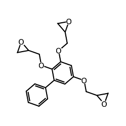 c1ccc(-c2cc(OCC3CO3)cc(OCC3CO3)c2OCC2CO2)cc1